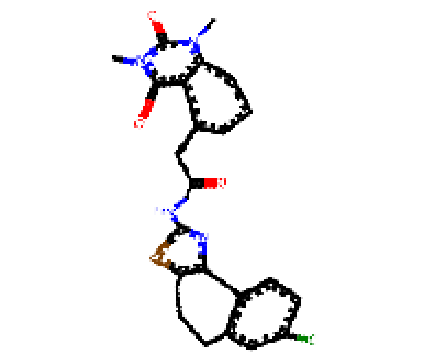 Cn1c(=O)c2c(CC(=O)Nc3nc4c(s3)CCc3cc(Cl)ccc3-4)cccc2n(C)c1=O